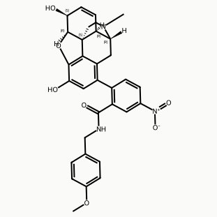 COc1ccc(CNC(=O)c2cc([N+](=O)[O-])ccc2-c2cc(O)c3c4c2C[C@@H]2[C@@H]5C=C[C@H](O)[C@H](O3)[C@]45CCN2C)cc1